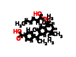 C=C(c1ccc(C(=O)O)cc1)c1cc2c(cc1C)C(C)(C)CCC2(C)C.CCCCCC(O)O